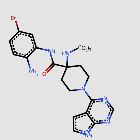 Nc1ccc(Br)cc1NC(=O)C1(NC(=O)O)CCN(c2ncnc3[nH]ccc23)CC1